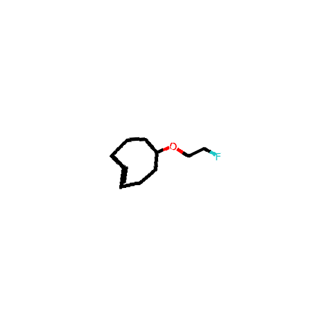 FCCOC1CC/C=C/CCC1